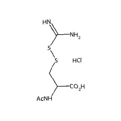 CC(=O)NC(CSSC(=N)N)C(=O)O.Cl